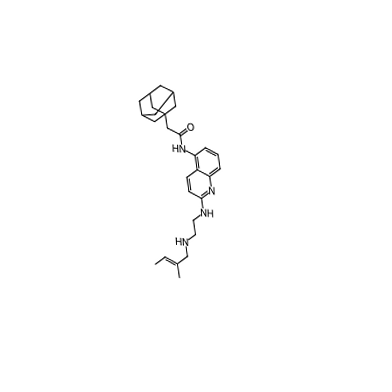 CC=C(C)CNCCNc1ccc2c(NC(=O)CC34CC5CC(CC(C5)C3)C4)cccc2n1